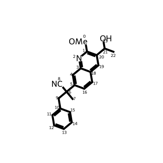 COc1nc2cc(C(C)(C#N)Cc3ccccc3)ccc2cc1C(C)O